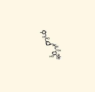 Cc1cccc(CNC(=O)Cc2cccc(CC(C)(C)NC[C@H](O)c3ccc(O)c(NS(C)(=O)=O)c3)c2)c1